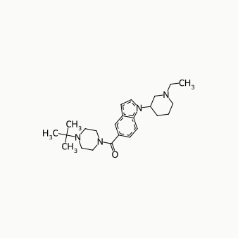 CCN1CCCC(n2ccc3cc(C(=O)N4CCN(C(C)(C)C)CC4)ccc32)C1